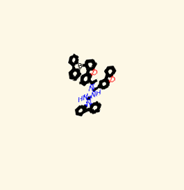 C/C(=N\C(NC(=N)n1c2ccccc2c2ccccc21)c1ccc2oc3ccccc3c2c1)c1cccc2c1oc1cccc(B3c4ccccc4-c4ccccc43)c12